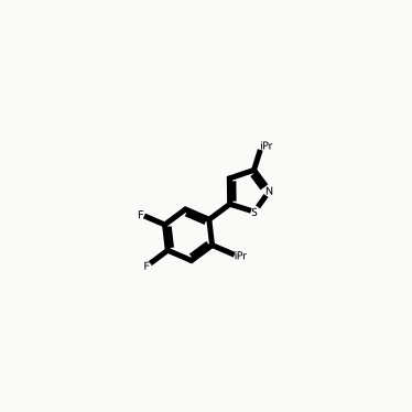 CC(C)c1cc(-c2cc(F)c(F)cc2C(C)C)sn1